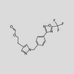 O=COCCc1cnn(Cc2ccc(-c3noc(C(F)(F)F)n3)cc2)c1